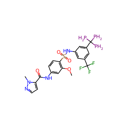 COc1cc(NC(=O)c2ccnn2C)ccc1S(=O)(=O)Nc1cc(C(F)(F)F)cc(C(P)(P)P)c1